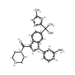 Cc1nnc(C(C)(O)c2ccc3c(C(=O)N4CCOCC4)nn(-c4ccnc(N)n4)c3c2)o1